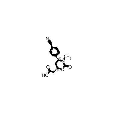 CN1C(=O)O[C@@H](CC(=O)O)C[C@H]1c1ccc(C#N)cc1